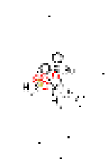 C=CC(CO[Si](c1ccccc1)(c1ccccc1)C(C)(C)C)C(C)COS(C)(=O)=O